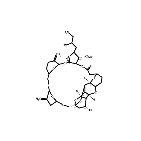 C=C1CC2CC[C@@]34C[C@@H](O)C5[C@@H]6OC7CCC(CC(=O)CC8[C@@H](OC)C(CC(O)CN)O[C@H]8CC8OC(CCC8=C)CCC1O2)O[C@@H]7C(O3)C6[C@@H]5O4